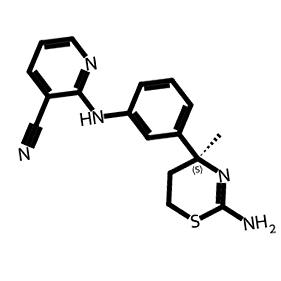 C[C@@]1(c2cccc(Nc3ncccc3C#N)c2)CCSC(N)=N1